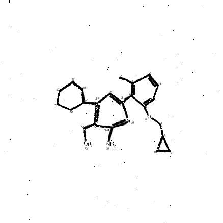 Cc1cccc(OCC2CC2)c1-c1cc(C2CCCCC2)c(CO)c(N)n1